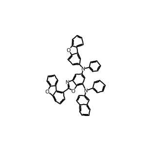 c1ccc(N(c2cc(N(c3ccccc3)c3ccc4ccccc4c3)c3oc(-c4cccc5oc6ccccc6c45)nc3c2)c2ccc3oc4ccccc4c3c2)cc1